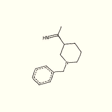 CC(=N)C1CCCN(Cc2ccccc2)C1